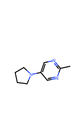 Cc1ncc(N2CCCC2)cn1